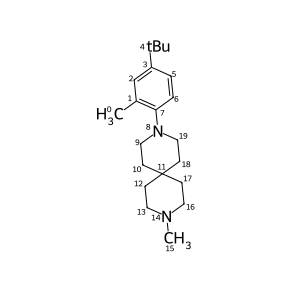 Cc1cc(C(C)(C)C)ccc1N1CCC2(CCN(C)CC2)CC1